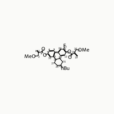 C=C(COC)C(=O)Oc1ccc(-c2ccc(OC(=O)C(=C)COC)c(F)c2)c(C2CCC(CCCC)CC2)c1